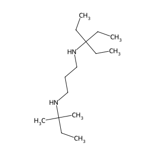 CCC(C)(C)NCCCNC(CC)(CC)CC